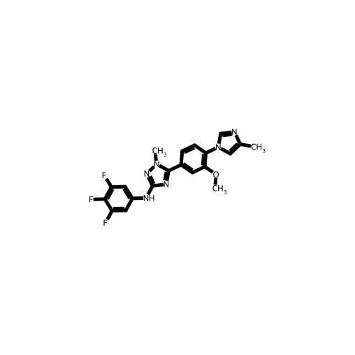 COc1cc(-c2nc(Nc3cc(F)c(F)c(F)c3)nn2C)ccc1-n1cnc(C)c1